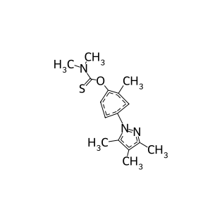 Cc1cc(-n2nc(C)c(C)c2C)ccc1OC(=S)N(C)C